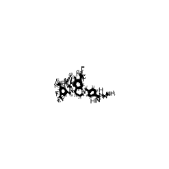 Cc1cc2c(cc1C(F)(F)F)N(Cc1ccc(C(=N)NN=N)cc1)CCC[C@@H]2N(Cc1cc(C(F)(F)F)cc(C(F)(F)F)c1)c1nnn(C)n1